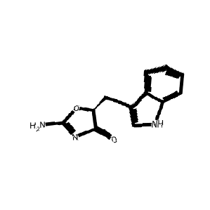 NC1=NC(=O)[C@H](Cc2c[nH]c3ccccc23)O1